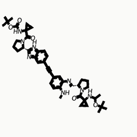 CNc1ccc(C#Cc2ccc3[nH]c([C@@H]4CCCN4C(=O)C4(NC(=O)OC(C)(C)C)CC4)nc3c2)cc1/N=C/[C@@H]1CCCN1C(=O)C1(NC(C)OC(C)(C)C)CC1